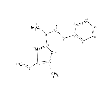 Cc1oc(C(C)OCc2ccccc2)nc1C=O